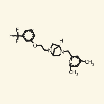 Cc1cc(C)cc(CN2CC3C[C@H]2CN3CCOc2c[c]cc(C(F)(F)F)c2)c1